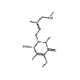 CNC/C(C)=C/CC1C(C)C(=O)C(SC)=C(C)C1O